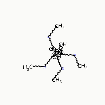 CCCCCCCC/C=C\CCCCCCCC(=O)OC[C@H]1OC(Oc2ccc(O)cc2)[C@H](OC(=O)CCCCCCC/C=C\CCCCCCCC)[C@@H](OC(=O)CCCCCCC/C=C\CCCCCCCC)[C@@H]1OC(=O)CCCCCCC/C=C\CCCCCCCC